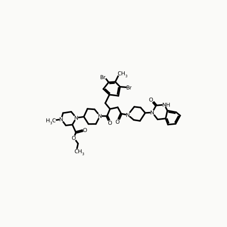 CCOC(=O)C1CN(C)CCN1C1CCN(C(=O)C(CC(=O)N2CCC(N3Cc4ccccc4NC3=O)CC2)Cc2cc(Br)c(C)c(Br)c2)CC1